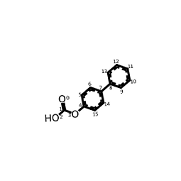 O=C(O)Oc1ccc(-c2ccccc2)cc1